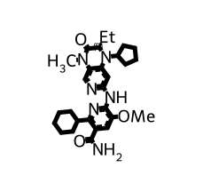 CC[C@@H]1C(=O)N(C)c2cnc(Nc3nc(C4CCCCC4)c(C(N)=O)cc3OC)cc2N1C1CCCC1